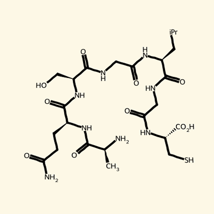 CC(C)C[C@H](NC(=O)CNC(=O)[C@H](CO)NC(=O)[C@H](CCC(N)=O)NC(=O)[C@H](C)N)C(=O)NCC(=O)N[C@@H](CS)C(=O)O